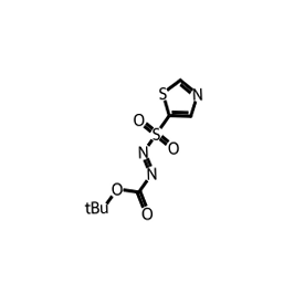 CC(C)(C)OC(=O)N=NS(=O)(=O)c1cncs1